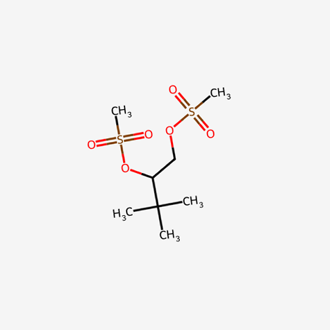 CC(C)(C)C(COS(C)(=O)=O)OS(C)(=O)=O